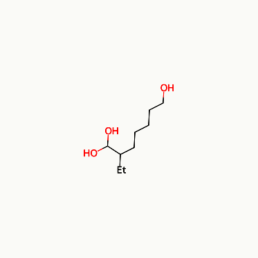 CCC(CCCCCO)C(O)O